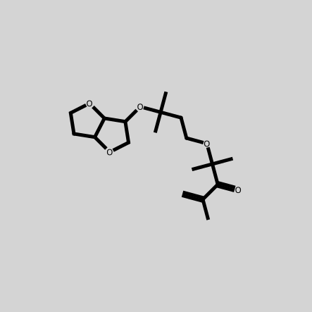 C=C(C)C(=O)C(C)(C)OCCC(C)(C)OC1COC2CCOC21